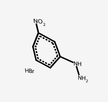 Br.NNc1cccc([N+](=O)[O-])c1